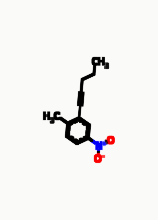 CCCC#Cc1cc([N+](=O)[O-])ccc1C